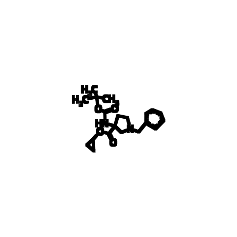 CC(C)(C)OC(=O)NC1(C(=O)OC2CC2)CCN(Cc2ccccc2)C1